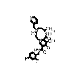 CC1CCN(Cc2cccnc2)NCCn2cc(C(=O)NCc3ccc(F)cc3F)c(=O)c(O)c2C(=O)N1